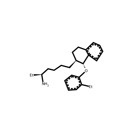 CCc1ccccc1O[C@H]1c2ccccc2CC[C@@H]1CCCC[C@@H](N)CC